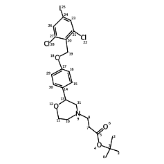 CC(C)(C)OC(=O)CCN1CCOC(c2ccc(OCc3c(Cl)cc(I)cc3Cl)cc2)C1